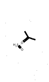 CC(C)=O.O=[SH2]